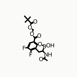 CC(=O)NC1Cc2c(F)c(F)cc(C(=O)OCOC(=O)C(C)(C)C)c2OB1O